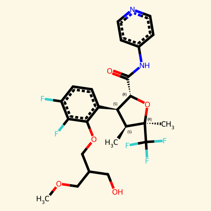 COCC(CO)COc1c([C@H]2[C@H](C(=O)Nc3ccncc3)O[C@@](C)(C(F)(F)F)[C@H]2C)ccc(F)c1F